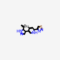 C=CC1NN=CC1C1=CNC(c2csnn2)C=C1CCCC